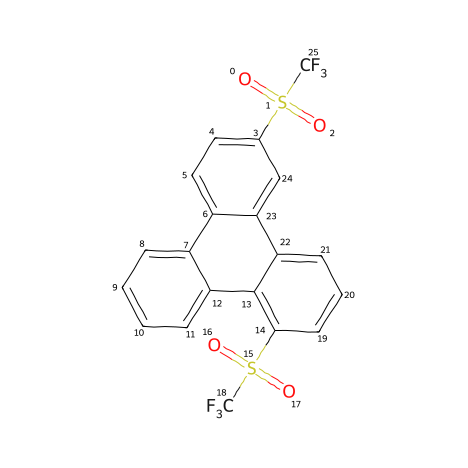 O=S(=O)(c1ccc2c3ccccc3c3c(S(=O)(=O)C(F)(F)F)cccc3c2c1)C(F)(F)F